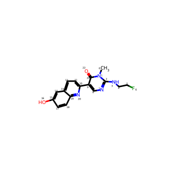 Cn1c(NCCF)ncc(-c2ccc3cc(O)ccc3n2)c1=O